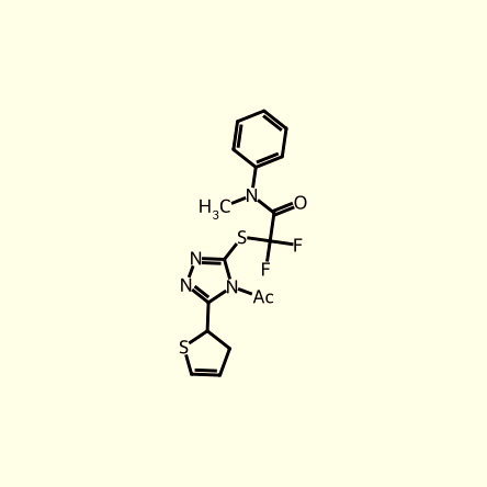 CC(=O)n1c(SC(F)(F)C(=O)N(C)c2ccccc2)nnc1C1CC=CS1